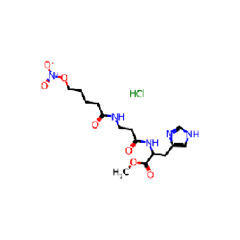 COC(=O)C(Cc1c[nH]cn1)NC(=O)CCNC(=O)CCCCO[N+](=O)[O-].Cl